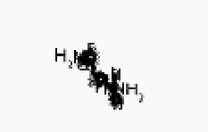 N#Cc1c(-c2ccc(CCOc3ccc(F)cc3C(N)=O)c(F)c2F)nn(C2CCOCC2)c1N